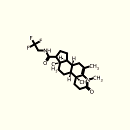 CC1=C2N(C)C(=O)CC[C@]2(C)[C@@H]2CC[C@]3(C)C(C(=O)NCC(F)(F)F)CC[C@H]3[C@@H]2C1